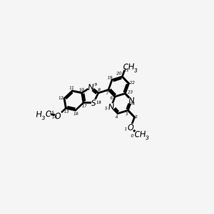 COCc1cnc2c(-c3nc4ccc(OC)cc4s3)cc(C)cc2n1